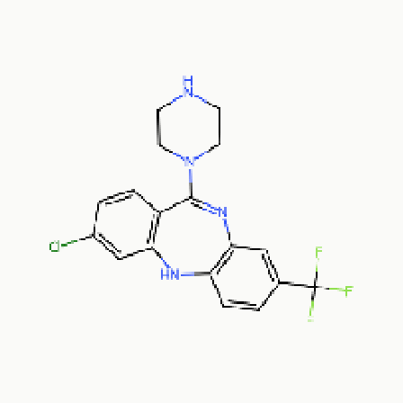 FC(F)(F)c1ccc2c(c1)N=C(N1CCNCC1)c1ccc(Cl)cc1N2